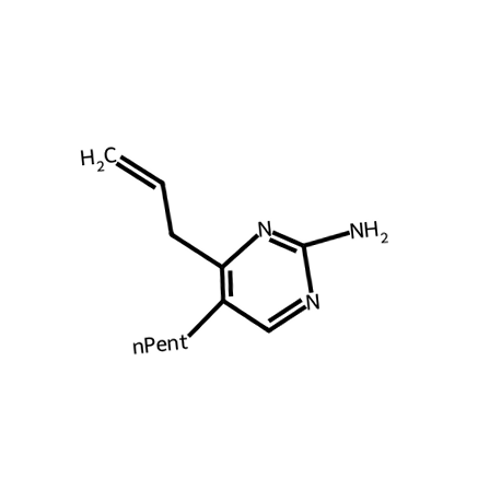 C=CCc1nc(N)ncc1CCCCC